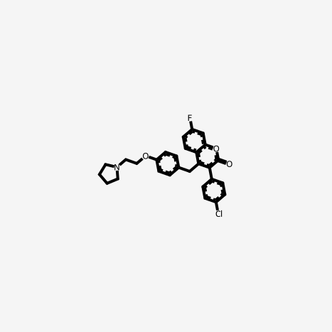 O=c1oc2cc(F)ccc2c(Cc2ccc(OCCN3CCCC3)cc2)c1-c1ccc(Cl)cc1